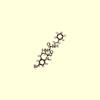 CN1C(=O)C(NC(=O)C(=O)NCCc2ccccc2)CCc2cc(Br)ccc21